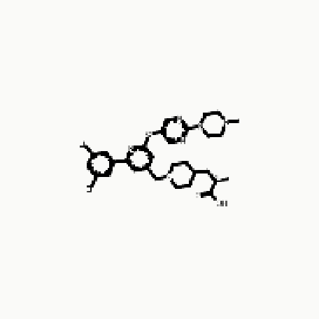 C[C@H](CC1CCN(Cc2cc(Oc3cnc(N4CCN(C)CC4)nc3)nc(-c3cc(Cl)cc(Cl)c3)c2)CC1)C(=O)O